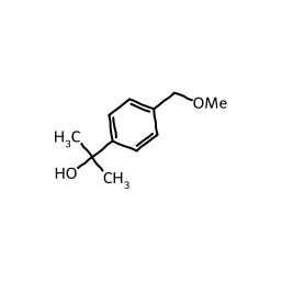 COCc1ccc(C(C)(C)O)cc1